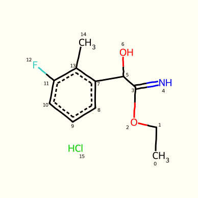 CCOC(=N)C(O)c1cccc(F)c1C.Cl